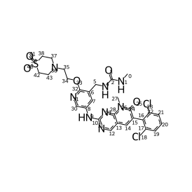 CNC(=O)NCc1cc(Nc2ncc3cc(-c4c(Cl)cccc4Cl)c(=O)n(C)c3n2)cnc1OCCN1CCS(=O)(=O)CC1